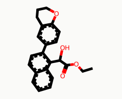 CCOC(=O)C(O)c1c(-c2ccc3c(c2)CCCO3)ccc2ccccc12